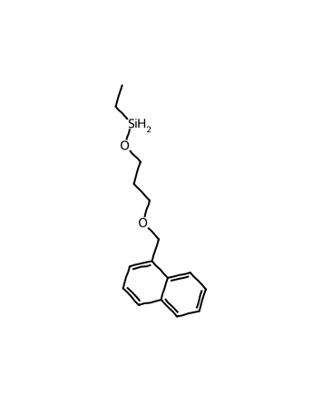 CC[SiH2]OCCCOCc1cccc2ccccc12